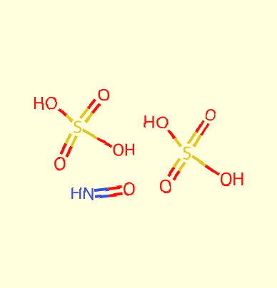 N=O.O=S(=O)(O)O.O=S(=O)(O)O